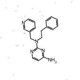 Nc1ccnc(N(CCc2ccccc2)Cc2cccnc2)n1